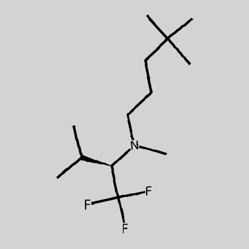 CC(C)[C@@H](N(C)CCCC(C)(C)C)C(F)(F)F